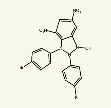 O=[N+]([O-])c1cc2c(c([N+](=O)[O-])c1)N(c1ccc(Br)cc1)N(c1ccc(Br)cc1)N2O